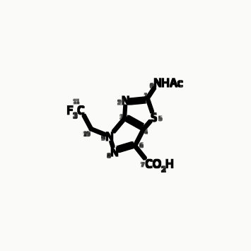 CC(=O)Nc1nc2c(s1)c(C(=O)O)nn2CC(F)(F)F